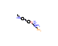 CCCNc1ccc(/C=C/c2ccc(OC/C(N)=C/N(N)CCP)cc2)cc1